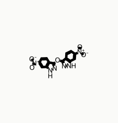 O=[N+]([O-])c1ccc2c(Oc3n[nH]c4cc([N+](=O)[O-])ccc34)n[nH]c2c1